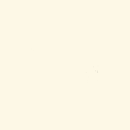 CCCCCCCCCCCCOC(=O)C1CCCN1C